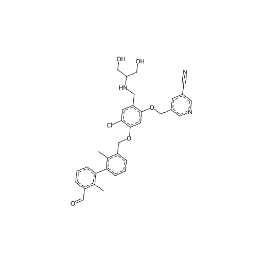 Cc1c(C=O)cccc1-c1cccc(COc2cc(OCc3cncc(C#N)c3)c(CNC(CO)CO)cc2Cl)c1C